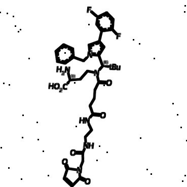 CC(C)(C)[C@H](c1cc(-c2cc(F)ccc2F)cn1Cc1ccccc1)N(CC[C@H](N)C(=O)O)C(=O)CCCC(=O)NCCNC(=O)CN1C(=O)C=CC1=O